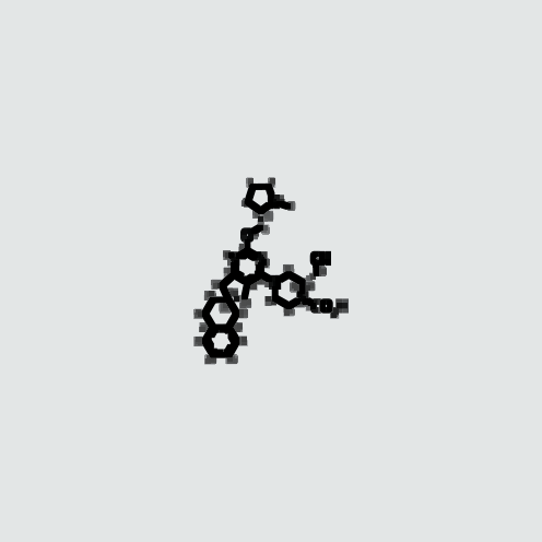 CN1CCC[C@H]1COc1nc2c(c(N3CCN(C(=O)O)[C@@H](CC#N)C3)n1)C[C@]1(CCc3ccccc3C1)C2